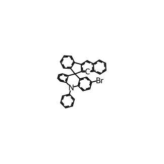 Brc1ccc2c(c1)C1(c3ccccc3-c3cc4ccccc4cc31)c1ccccc1N2c1ccccc1